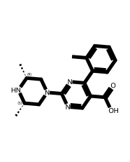 Cc1ccccc1-c1nc(N2C[C@@H](C)N[C@@H](C)C2)ncc1C(=O)O